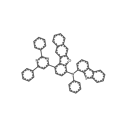 c1ccc(-c2cc(-c3ccc(N(c4ccccc4)c4cccc5c4sc4ccccc45)c4oc5cc6ccccc6cc5c34)nc(-c3ccccc3)n2)cc1